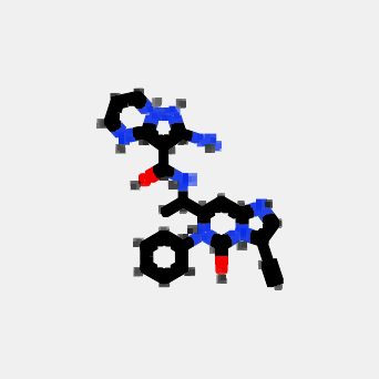 C#Cc1cnc2cc(C(C)NC(=O)c3c(N)nn4cccnc34)n(-c3ccccc3)c(=O)n12